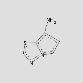 Nc1ccn2ncsc12